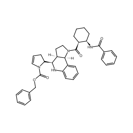 O=C(N[C@@H]1CCCC[C@@H]1C(=O)N1CC[C@@H]2[C@H](C3CC=CN3C(=O)OCc3ccccc3)Nc3ccccc3[C@@H]21)c1ccccc1